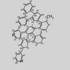 CC1CC=CC(c2ccccc2C2=C(C3=CC(c4cccnc4)=CC(c4cccnc4)C3)CCC=C2)=C1c1ccc2c3ccccc3c3ccccc3c2c1